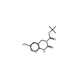 CC(C)(C)OC(=O)N1Cc2cc(O)cnc2NC1=O